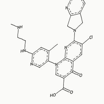 CNCCNc1cc(C)c(-n2cc(C(=O)O)c(=O)c3cc(Cl)c(N4Cc5cccnc5C4)nc32)cn1